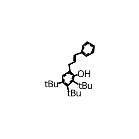 CC(C)(C)c1cc(C/C=C/c2ccccc2)c(O)c(C(C)(C)C)c1C(C)(C)C